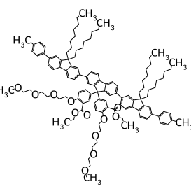 CCCCCCCCC1(CCCCCCCC)c2cc(-c3ccc(C)cc3)ccc2-c2ccc(-c3ccc4c(c3)C(c3ccc(OCCOCCOCCOC)c(C(=O)OCC)c3)(c3ccc(OCCOCCOCCOC)c(C(=O)OCC)c3)c3cc(-c5ccc6c(c5)C(CCCCCCCC)(CCCCCCCC)c5cc(-c7ccc(C)cc7)ccc5-6)ccc3-4)cc21